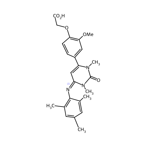 COc1cc(-c2c/c(=N/c3c(C)cc(C)cc3C)n(C)c(=O)n2C)ccc1OCC(=O)O